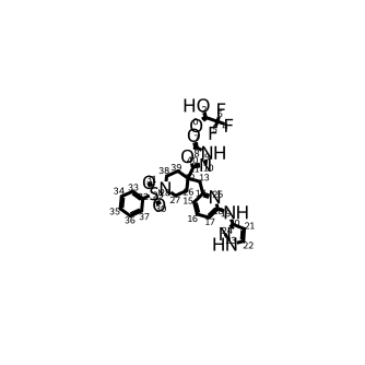 O=C(O)C(F)(F)F.O=c1[nH]nc(C2(Cc3cccc(Nc4cc[nH]n4)n3)CCN(S(=O)(=O)c3ccccc3)CC2)o1